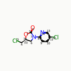 O=C1O[C@H](CCl)CN1c1ccc(Cl)cn1